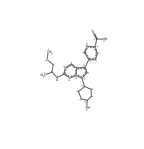 COCC(C)Nc1ncc2c(-c3ccc(C(=O)O)nc3)cc(C3CCC(O)CC3)n2n1